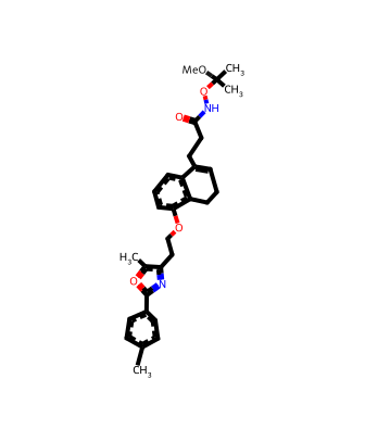 COC(C)(C)ONC(=O)CCC1=CCCc2c(OCCc3nc(-c4ccc(C)cc4)oc3C)cccc21